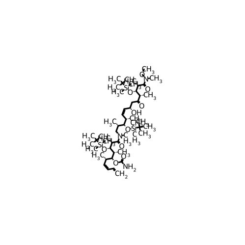 C=C/C=C\[C@H](C)[C@H](OC(N)=O)[C@@H](C)[C@H](O[Si](C)(C)C(C)(C)C)[C@@H](C)C(=O)N(C)C[C@H](C)[C@@H](O[Si](C)(C)C(C)(C)C)[C@@H](C)/C=C\[C@@H](O)CC(=O)[C@@H](C)[C@H](O[Si](C)(C)C(C)(C)C)[C@H](C)C(=O)N(C)OC